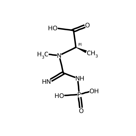 C[C@H](C(=O)O)N(C)C(=N)NP(=O)(O)O